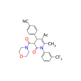 CC(=O)C1=C(C)N(c2cccc(C(F)(F)F)c2)C(=O)C(C(=O)N2CCOCC2)C1c1ccc(C#N)cc1